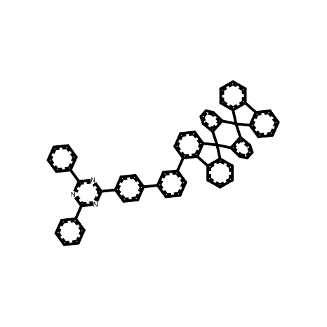 c1ccc(-c2nc(-c3ccccc3)nc(-c3ccc(-c4cccc(-c5cccc6c5-c5ccccc5C65c6ccccc6C6(c7ccccc7-c7ccccc76)c6ccccc65)c4)cc3)n2)cc1